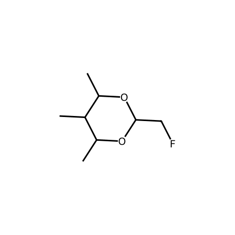 CC1OC(CF)OC(C)C1C